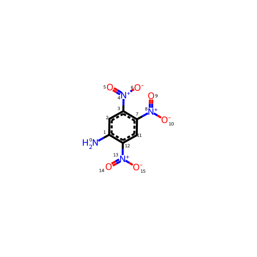 Nc1cc([N+](=O)[O-])c([N+](=O)[O-])cc1[N+](=O)[O-]